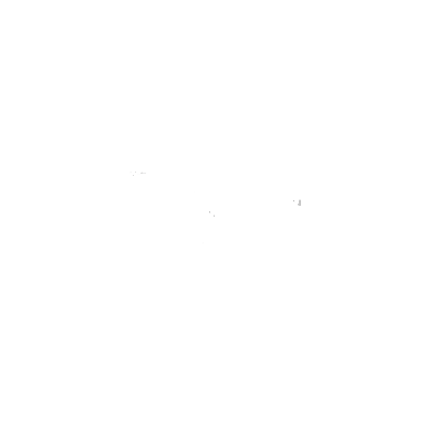 COCCN(C1CCNCC1)S(C)(=O)=O